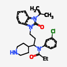 C=C(C)n1c(=O)n(CCC(C2CCNCC2)N(C(=O)CC)c2cccc(Cl)c2)c2ccccc21